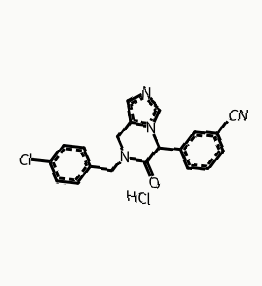 Cl.N#Cc1cccc(C2C(=O)N(Cc3ccc(Cl)cc3)Cc3cncn32)c1